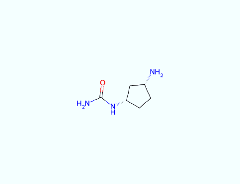 NC(=O)N[C@H]1CC[C@@H](N)C1